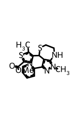 COC(=O)c1cc(C2SCCNc3c2c(-c2ccccn2)nn3C)c(C)s1